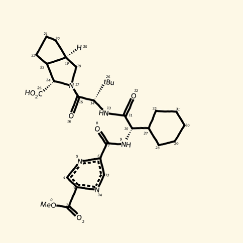 COC(=O)c1cnc(C(=O)N[C@H](C(=O)N[C@H](C(=O)N2C[C@@H]3CCCC3[C@H]2C(=O)O)C(C)(C)C)C2CCCCC2)cn1